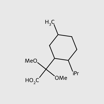 COC(OC)(C(=O)O)C1CC(C)CCC1C(C)C